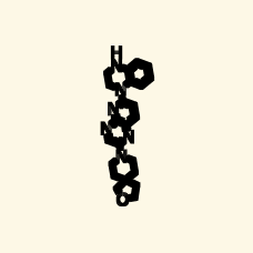 c1ccc2c(c1)NCCN2c1ccc2nc(N3CCC4(CCOC4)CC3)cnc2n1